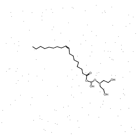 CCCCCCCC/C=C\CCCCCCCC(=O)OB(O)ON(CCO)CCO